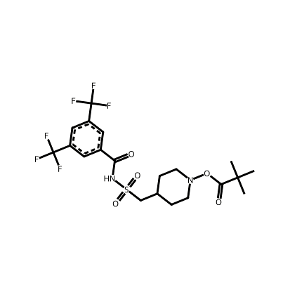 CC(C)(C)C(=O)ON1CCC(CS(=O)(=O)NC(=O)c2cc(C(F)(F)F)cc(C(F)(F)F)c2)CC1